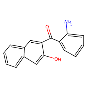 Nc1ccccc1C(=O)c1cc2ccccc2cc1O